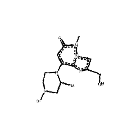 CCC1CN(Br)CCN1c1cc(=O)n(C)n2cc(CO)nc12